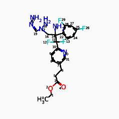 CCOC(=O)CCc1ccc(C(F)(F)C(N)(CN(N)/C=N\N)c2ccc(F)cc2F)nc1